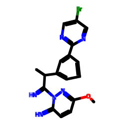 COc1ccc(=N)n(C(=N)C(C)c2cccc(-c3ncc(Br)cn3)c2)n1